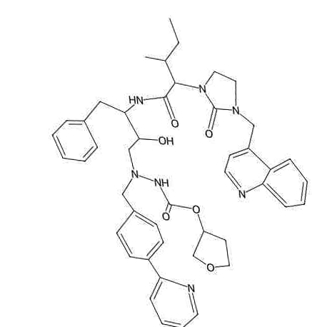 CCC(C)C(C(=O)NC(Cc1ccccc1)C(O)CN(Cc1ccc(-c2ccccn2)cc1)NC(=O)OC1CCOC1)N1CCN(Cc2ccnc3ccccc23)C1=O